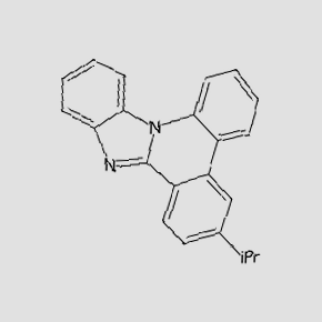 CC(C)c1ccc2c(c1)c1ccccc1n1c3ccccc3nc21